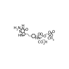 Cc1oc(=O)oc1COC(=O)[C@H](CCC(=O)O)NC(=O)c1ccc(CCc2c[nH]c3nc(N)[nH]c(=O)c23)cc1